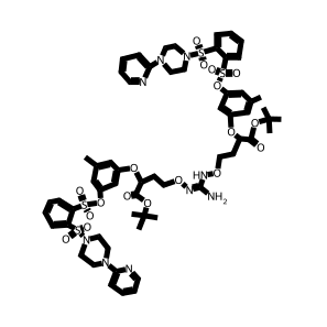 Cc1cc(OC(CCON=C(N)NOCCC(Oc2cc(C)cc(OS(=O)(=O)c3ccccc3S(=O)(=O)N3CCN(c4ccccn4)CC3)c2)C(=O)OC(C)(C)C)C(=O)OC(C)(C)C)cc(OS(=O)(=O)c2ccccc2S(=O)(=O)N2CCN(c3ccccn3)CC2)c1